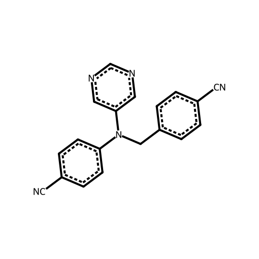 N#Cc1ccc(CN(c2ccc(C#N)cc2)c2cncnc2)cc1